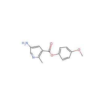 COc1ccc(OC(=O)c2cc(N)cnc2C)cc1